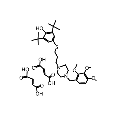 COc1ccc(CN2CCN(CCCSc3cc(C(C)(C)C)c(O)c(C(C)(C)C)c3)CC2)c(OC)c1OC.O=C(O)/C=C/C(=O)O.O=C(O)/C=C/C(=O)O